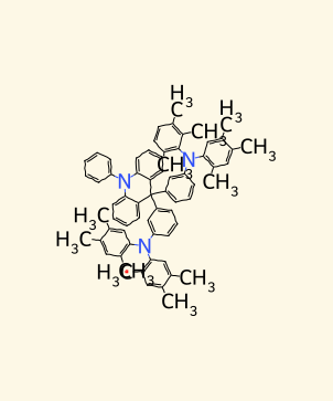 Cc1cc(C)c(N(c2cccc(C3(c4cccc(N(c5cc(C)c(C)cc5C)c5c(C)ccc(C)c5C)c4)c4ccccc4N(c4ccccc4)c4ccccc43)c2)c2cc(C)c(C)cc2C)cc1C